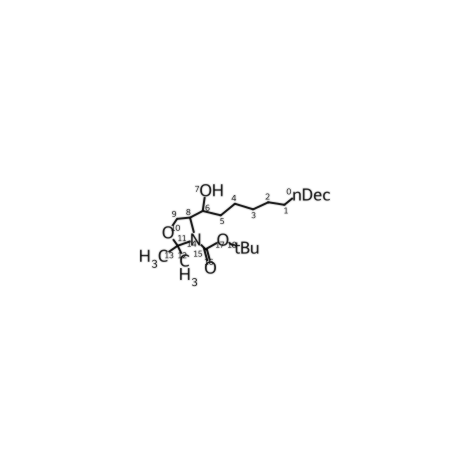 CCCCCCCCCCCCCCCC(O)C1COC(C)(C)N1C(=O)OC(C)(C)C